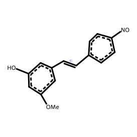 COc1cc(O)cc(/C=C/c2ccc(N=O)cc2)c1